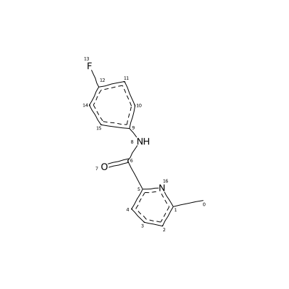 Cc1cccc(C(=O)Nc2ccc(F)cc2)n1